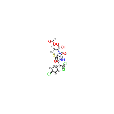 CC(=O)OCC1=C(C(=O)O)N2C(=O)C(NC(=O)C(=C(Cl)Cl)c3ccc(Cl)cc3)[C@@H]2SC1